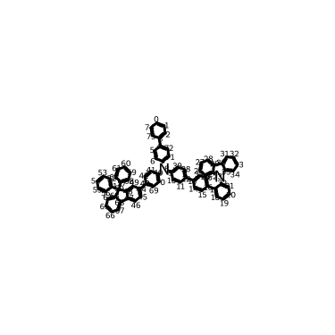 c1ccc(-c2ccc(N(c3ccc(-c4ccc(-c5ccccc5-n5c6ccccc6c6ccccc65)cc4)cc3)c3ccc(-c4ccc5c(c4)C(c4ccccc4)(c4ccccc4)c4ccccc4-5)cc3)cc2)cc1